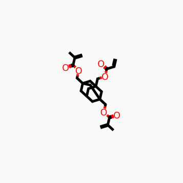 C=CC(=O)OCC12CC3CC(COC(=O)C(=C)C)(C1)CC(COC(=O)C(=C)C)(C3)C2